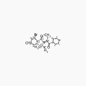 CCN(C(=O)c1ccccc1)N(C(=O)c1ccc(Cl)cc1Br)C(C)C